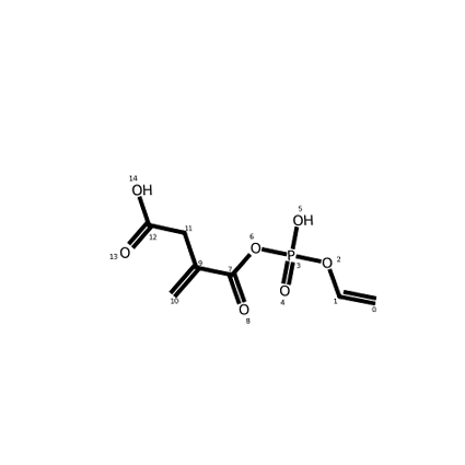 C=COP(=O)(O)OC(=O)C(=C)CC(=O)O